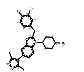 Cc1noc(C)c1-c1ccc2c(c1)nc(Cc1ccc(F)c(F)c1)n2C1CCC(O)CC1